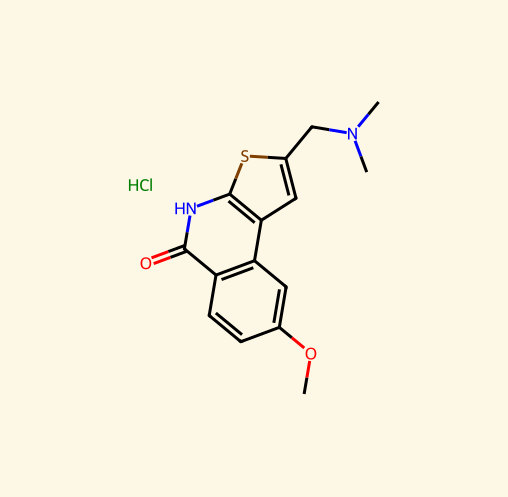 COc1ccc2c(=O)[nH]c3sc(CN(C)C)cc3c2c1.Cl